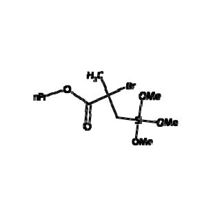 CCCOC(=O)C(C)(Br)C[Si](OC)(OC)OC